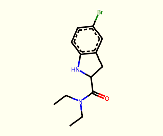 CCN(CC)C(=O)C1Cc2cc(Br)ccc2N1